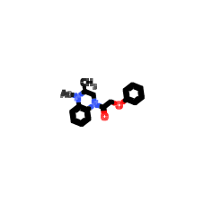 CC(=O)N1c2ccccc2N(C(=O)COc2ccccc2)C[C@@H]1C